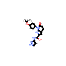 CC(C)Oc1ccc(-n2c(=O)ccc3cc(C(O)Nc4cc[nH]n4)[nH]c32)cc1